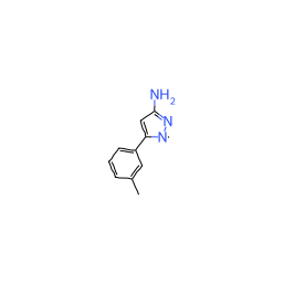 Cc1cccc(C2=CC(N)=N[N]2)c1